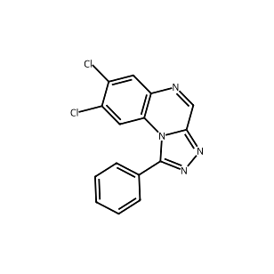 Clc1cc2ncc3nnc(-c4ccccc4)n3c2cc1Cl